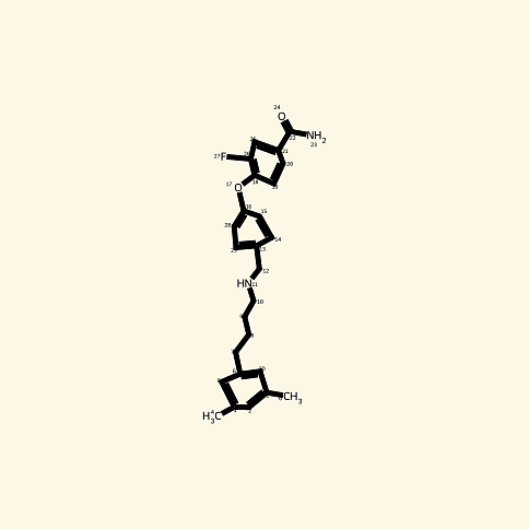 Cc1cc(C)cc(CCCCNCc2ccc(Oc3ccc(C(N)=O)cc3F)cc2)c1